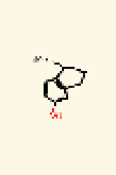 O=C(O)C1CCCc2cc(O)ccc21